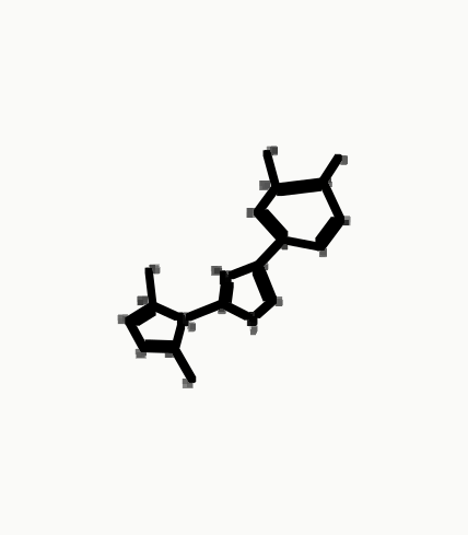 Cc1ccc(-c2csc(-n3c(C)ccc3C)n2)cc1C